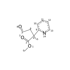 COC(=O)C(C)(CC=O)c1ccccn1